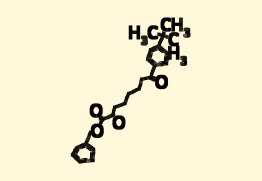 CC(C)(C)c1ccc(C(=O)CCCCCC(=O)C(=O)OCc2ccccc2)cc1